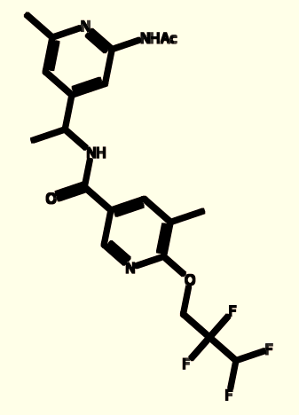 CC(=O)Nc1cc(C(C)NC(=O)c2cnc(OCC(F)(F)C(F)F)c(C)c2)cc(C)n1